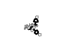 CC(C)CC(OC(=O)c1ccc(Cl)cc1)C(CNC(=O)c1ccc(Cl)cc1)C(C)(C)C